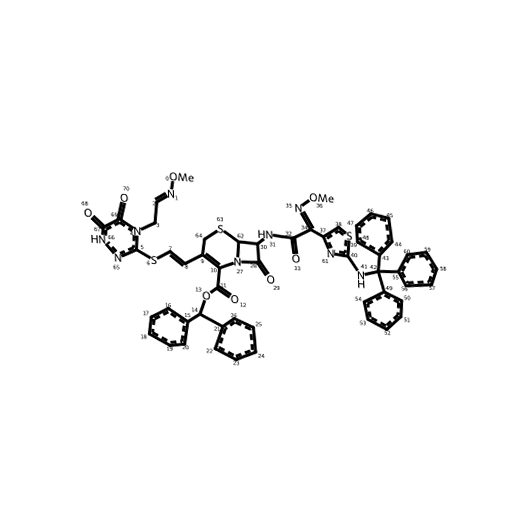 CON=CCn1c(SC=CC2=C(C(=O)OC(c3ccccc3)c3ccccc3)N3C(=O)C(NC(=O)C(=NOC)c4csc(NC(c5ccccc5)(c5ccccc5)c5ccccc5)n4)C3SC2)n[nH]c(=O)c1=O